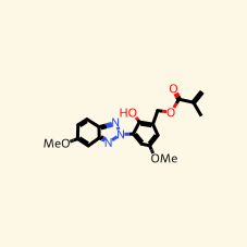 C=C(C)C(=O)OCc1cc(OC)cc(-n2nc3ccc(OC)cc3n2)c1O